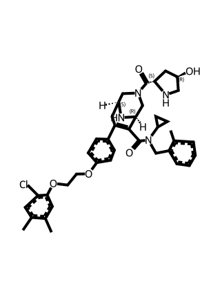 Cc1cc(Cl)c(OCCOc2ccc(C3=C(C(=O)N(Cc4ccccc4C)C4CC4)[C@@H]4CN(C(=O)[C@@H]5C[C@@H](O)CN5)C[C@H](C3)N4)cc2)cc1C